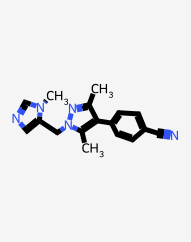 Cc1nn(Cc2cncn2C)c(C)c1-c1ccc(C#N)cc1